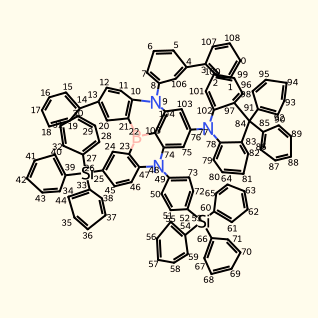 c1ccc(-c2cccc(N3c4ccc(-c5ccccc5)cc4B4c5cc([Si](c6ccccc6)(c6ccccc6)c6ccccc6)ccc5N(c5ccc([Si](c6ccccc6)(c6ccccc6)c6ccccc6)cc5)c5cc(N6c7ccccc7C(c7ccccc7)(c7ccccc7)c7ccccc76)cc3c54)c2)cc1